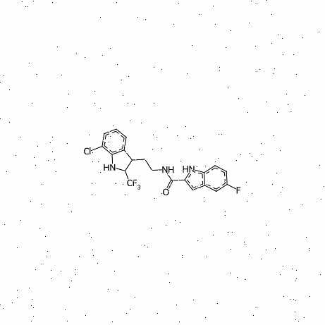 O=C(NCCC1c2cccc(Cl)c2NC1C(F)(F)F)c1cc2cc(F)ccc2[nH]1